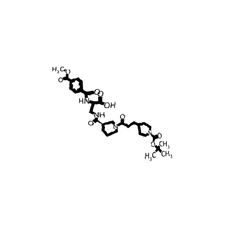 COC(=O)c1ccc(C(=O)NC(CNC(=O)[C@@H]2CCCN(C(=O)CCC3CCN(C(=O)OC(C)(C)C)CC3)C2)C(=O)O)cc1